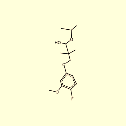 COc1cc(OCC(C)(C)C(O)OC(C)C)ccc1F